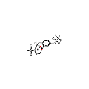 CS(=O)(=O)N1CC[C@]23CCCC[C@H]2[C@H]1Cc1ccc(OS(=O)(=O)C(F)(F)F)cc13